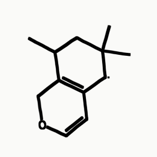 CC1CC(C)(C)[CH]C2=C1COC=C2